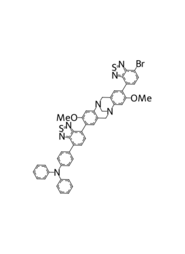 COc1cc2c(cc1-c1ccc(Br)c3nsnc13)CN1CN2Cc2cc(-c3ccc(-c4ccc(N(c5ccccc5)c5ccccc5)cc4)c4nsnc34)c(OC)cc21